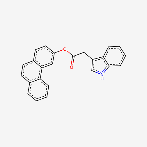 O=C(Cc1c[nH]c2ccccc12)Oc1ccc2ccc3ccccc3c2c1